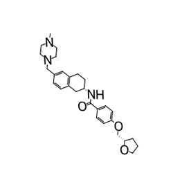 CN1CCN(Cc2ccc3c(c2)CC[C@H](NC(=O)c2ccc(OC[C@@H]4CCCO4)cc2)C3)CC1